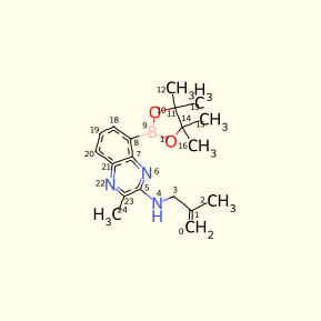 C=C(C)CNc1nc2c(B3OC(C)(C)C(C)(C)O3)cccc2nc1C